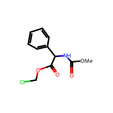 COC(=O)NC(C(=O)OCCl)c1ccccc1